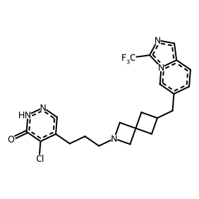 O=c1[nH]ncc(CCCN2CC3(CC(Cc4ccc5cnc(C(F)(F)F)n5c4)C3)C2)c1Cl